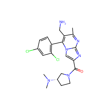 Cc1nc2nc(C(=O)N3CC[C@H](N(C)C)C3)cn2c(-c2ccc(Cl)cc2Cl)c1CN